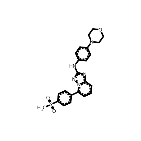 CS(=O)(=O)c1ccc(-c2cccc3nc(Nc4ccc(N5CCOCC5)cc4)nn23)cc1